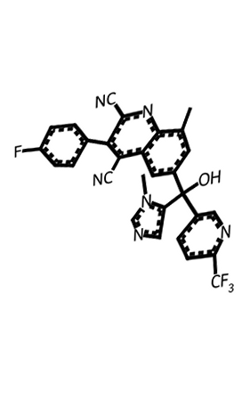 Cc1cc(C(O)(c2ccc(C(F)(F)F)nc2)c2cncn2C)cc2c(C#N)c(-c3ccc(F)cc3)c(C#N)nc12